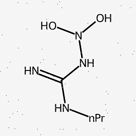 CCCNC(=N)NN(O)O